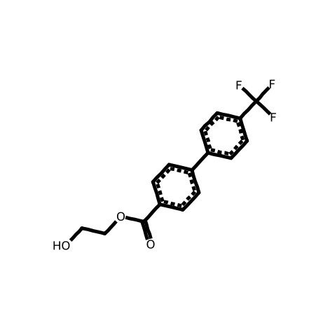 O=C(OCCO)c1ccc(-c2ccc(C(F)(F)F)cc2)cc1